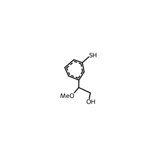 COC(CO)c1cccc(S)c1